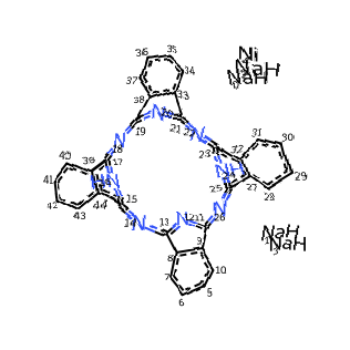 [NaH].[NaH].[NaH].[NaH].[Ni].c1ccc2c(c1)-c1nc-2nc2[nH]c(nc3nc(nc4[nH]c(n1)c1ccccc41)-c1ccccc1-3)c1ccccc21